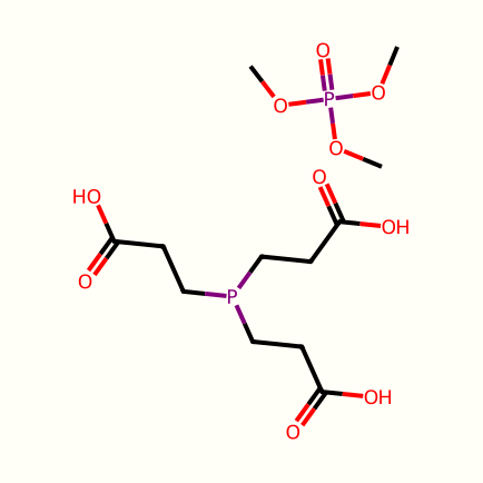 COP(=O)(OC)OC.O=C(O)CCP(CCC(=O)O)CCC(=O)O